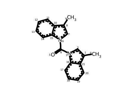 Cc1cn(C(=O)n2cc(C)c3ccccc32)c2ccccc12